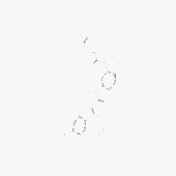 CC(=O)OCC(=O)N1CCCc2ccc(NC(=O)C=C3CCCOc4cc(C(F)(F)F)ccc43)cc21